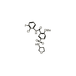 COc1ccc(S(=O)(=O)NC2CCOC2)cc1C(=O)Nc1cccc(F)c1Cl